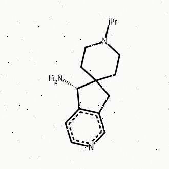 CC(C)N1CCC2(CC1)Cc1cnccc1[C@@H]2N